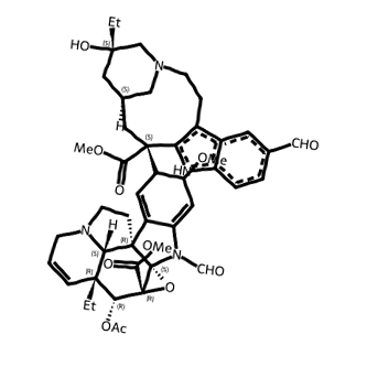 CC[C@]1(O)C[C@H]2CN(CCc3c([nH]c4ccc(C=O)cc34)[C@@](C(=O)OC)(C3C=C4C(=CC3OC)N(C=O)[C@@]35O[C@]3(C(=O)OC)[C@H](OC(C)=O)[C@]3(CC)C=CCN6CC[C@]45[C@@H]63)C2)C1